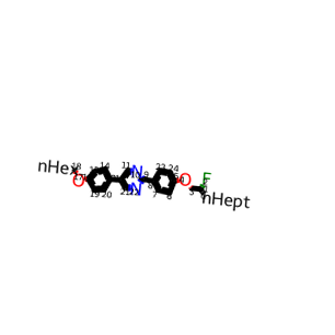 CCCCCCCC(F)COc1ccc(-c2ncc(-c3ccc(OCCCCCC)cc3)cn2)cc1